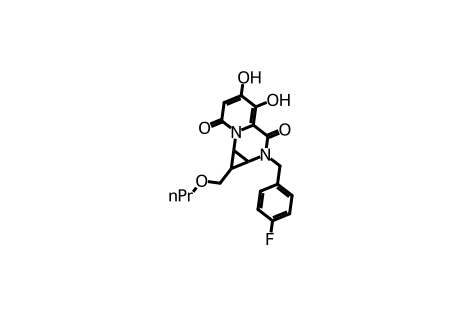 CCCOCC1C2C1n1c(c(O)c(O)cc1=O)C(=O)N2Cc1ccc(F)cc1